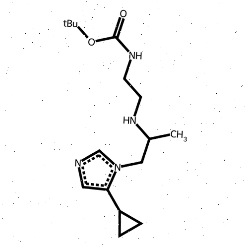 CC(Cn1cncc1C1CC1)NCCNC(=O)OC(C)(C)C